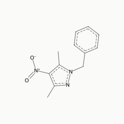 Cc1nn(Cc2ccccc2)c(C)c1[N+](=O)[O-]